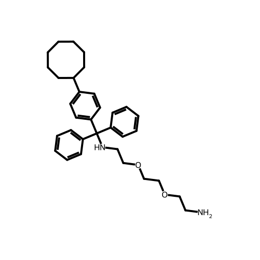 NCCOCCOCCNC(c1ccccc1)(c1ccccc1)c1ccc(C2CCCCCCC2)cc1